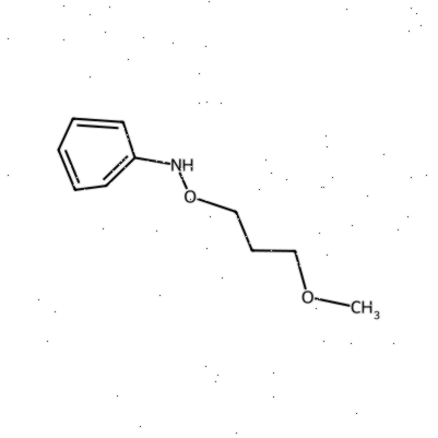 COCCCONc1ccccc1